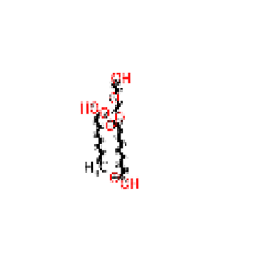 CCCCCCCCC(=O)O.O=C(O)CCCCCCCC(=O)OCCOCCO